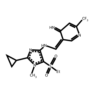 CCS(=O)(=O)c1c(N/C=C2/C=NC(C(F)(F)F)=CC2=N)nc(C2CC2)n1C